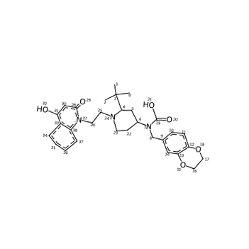 CC(C)(C)C1CC(N(Cc2ccc3c(c2)OCCO3)C(=O)O)CCN1CCn1c(=O)cc(O)c2ccccc21